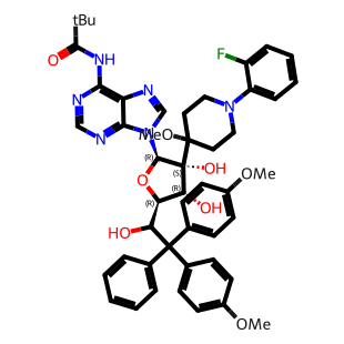 COc1ccc(C(c2ccccc2)(c2ccc(OC)cc2)C(O)[C@H]2O[C@@H](n3cnc4c(NC(=O)C(C)(C)C)ncnc43)[C@@](O)(C3(OC)CCN(c4ccccc4F)CC3)[C@@H]2O)cc1